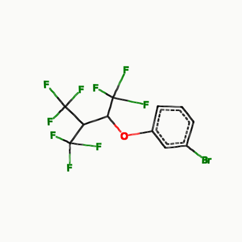 FC(F)(F)C(Oc1cccc(Br)c1)C(C(F)(F)F)C(F)(F)F